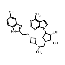 CN(C[C@H]1CC(n2ccc3c(N)ncnc32)[C@H](O)[C@@H]1O)[C@H]1C[C@@H](CCc2nc3cc(C(C)(C)C)ccc3[nH]2)C1